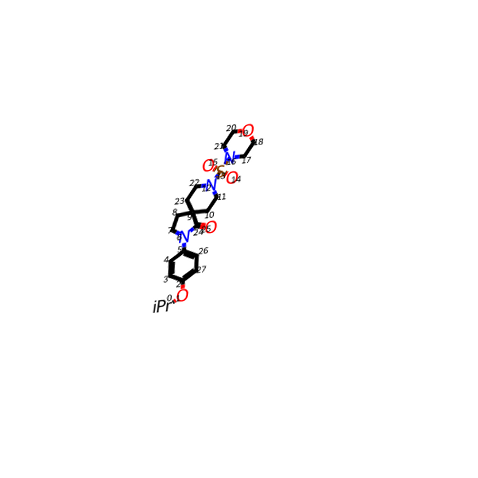 CC(C)Oc1ccc(N2CCC3(CCN(S(=O)(=O)N4CCOCC4)CC3)C2=O)cc1